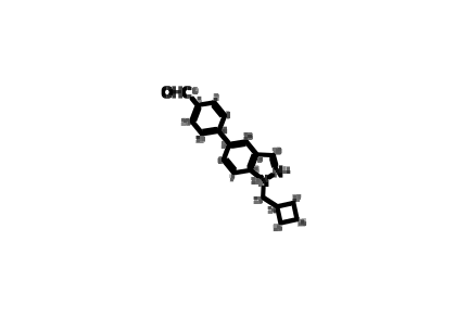 O=Cc1ccc(-c2ccc3c(cnn3CC3CCC3)c2)cc1